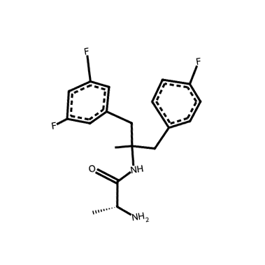 C[C@@H](N)C(=O)NC(C)(Cc1ccc(F)cc1)Cc1cc(F)cc(F)c1